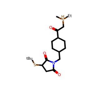 CC[SH](C)CC(=O)C1CCC(CN2C(=O)CC(SC(C)(C)C)C2=O)CC1